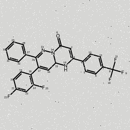 O=C1C=C(c2ccc(C(F)(F)F)cc2)NC2C=C(c3ccc(F)cc3F)C(c3ccccc3)=NN12